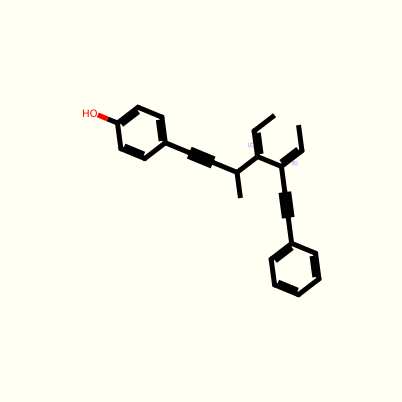 C/C=C(\C(C#Cc1ccccc1)=C/C)C(C)C#Cc1ccc(O)cc1